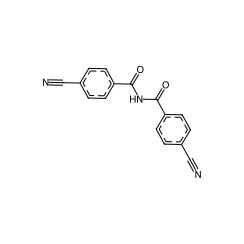 N#Cc1ccc(C(=O)NC(=O)c2ccc(C#N)cc2)cc1